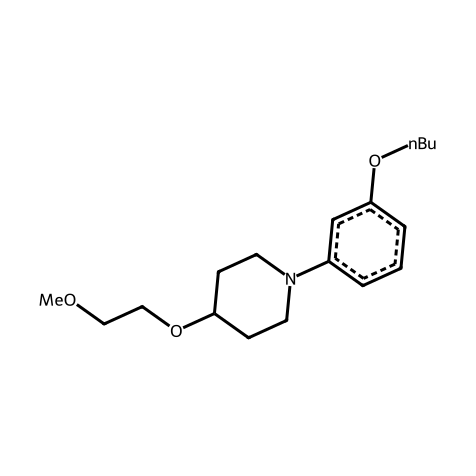 CCCCOc1cccc(N2CCC(OCCOC)CC2)c1